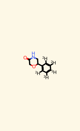 [2H]c1c([2H])c([2H])c(C2CNC(=O)CO2)c([2H])c1[2H]